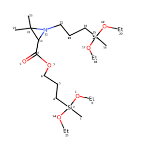 CCO[Si](C)(CCCOC(=O)C1N(CCC[Si](C)(OCC)OCC)C1(C)C)OCC